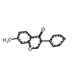 Cc1ccc2c(=O)c(-c3ccccc3)coc2c1